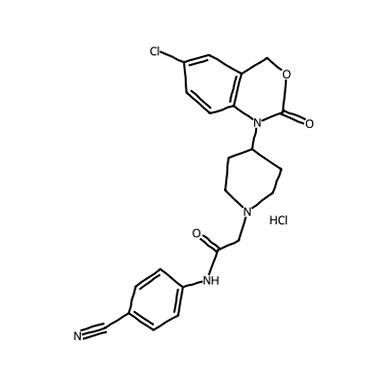 Cl.N#Cc1ccc(NC(=O)CN2CCC(N3C(=O)OCc4cc(Cl)ccc43)CC2)cc1